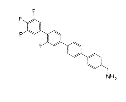 NCc1ccc(-c2ccc(-c3ccc(-c4cc(F)c(F)c(F)c4)c(F)c3)cc2)cc1